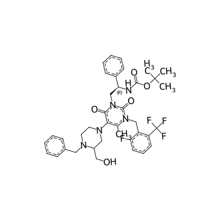 Cc1c(N2CCN(Cc3ccccc3)C(CO)C2)c(=O)n(C[C@H](NC(=O)OC(C)(C)C)c2ccccc2)c(=O)n1Cc1c(F)cccc1C(F)(F)F